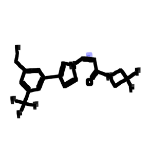 O=C(/C=C\n1ccc(-c2cc(CF)cc(C(F)(F)F)c2)c1)N1CC(F)(F)C1